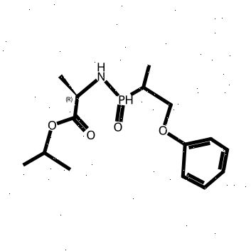 CC(C)OC(=O)[C@@H](C)N[PH](=O)C(C)COc1ccccc1